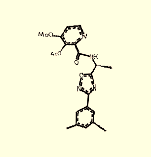 COc1ccnc(C(=O)N[C@@H](C)c2nc(-c3cc(C)cc(C)c3)no2)c1OC(C)=O